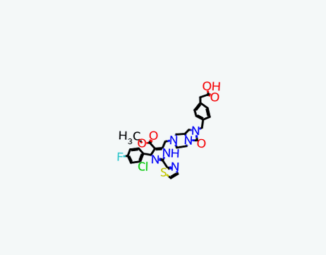 COC(=O)C1=C(CN2CCN3C(=O)N(Cc4ccc(CC(=O)O)cc4)CC3C2)NC(c2nccs2)=NC1c1ccc(F)cc1Cl